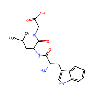 CC(C)C[C@H](NC(=O)[C@@H](N)Cc1c[nH]c2ccccc12)C(=O)NCC(=O)O